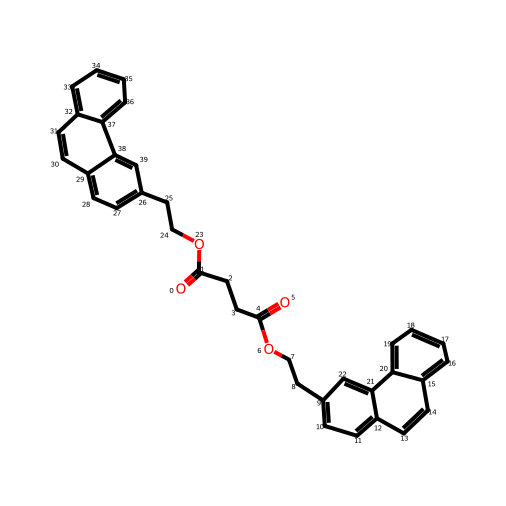 O=C(CCC(=O)OCCc1ccc2ccc3ccccc3c2c1)OCCc1ccc2ccc3ccccc3c2c1